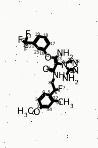 COc1ccc(C(F)CNC(=O)/C(=C(/N)Oc2cccc(C(F)(F)F)c2)n2cnnc2N)c(C)c1